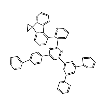 c1ccc(-c2ccc(-c3cc(-c4cc(-c5ccccc5)cc(-c5ccccc5)c4)nc(-c4cccnc4-c4cccc5c4-c4ccccc4C54CC4)n3)cc2)cc1